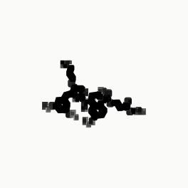 CC[C@@H]1C[C@H](Nc2ncc(OCCCC#N)c(Cc3cc(C(F)(F)F)cc(C(F)(F)F)c3)n2)c2cc(C(F)(F)F)ccc2N1C(=O)OCCC(=O)OC(C)(C)C